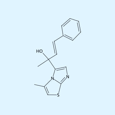 Cc1csc2ncc(C(C)(O)C=Cc3ccccc3)n12